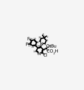 CC1(C)CCN(c2c(-c3ccc(F)c(F)c3)cnc(Cl)c2C(OC(C)(C)C)C(=O)O)CC1